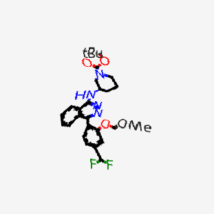 COCOc1cc(C(F)F)ccc1-c1nnc(N[C@@H]2CCCN(C(=O)OC(C)(C)C)C2)c2ccccc12